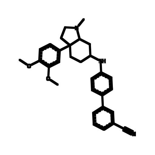 COc1ccc(C23CCC(Nc4ccc(-c5cccc(C#N)c5)cc4)CC2N(C)CC3)cc1OC